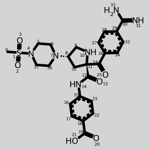 CS(=O)(=O)N1CCN([C@@H]2CN[C@](C(=O)Nc3ccc(C(=O)O)cc3)(C(=O)c3ccc(C(=N)N)cc3)C2)CC1